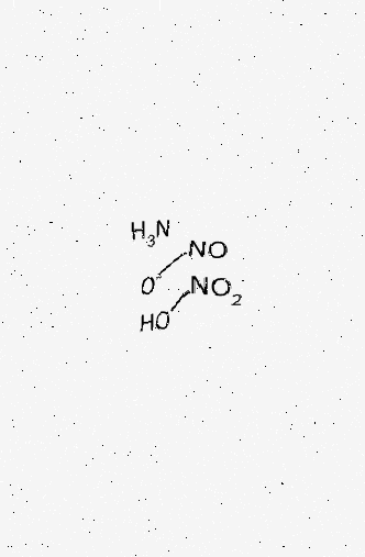 N.O=[N+]([O-])O.O=[NH+][O-]